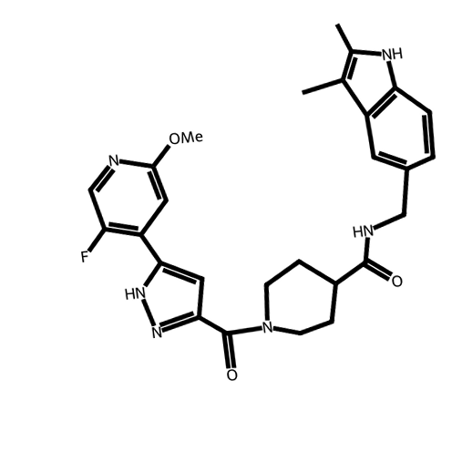 COc1cc(-c2cc(C(=O)N3CCC(C(=O)NCc4ccc5[nH]c(C)c(C)c5c4)CC3)n[nH]2)c(F)cn1